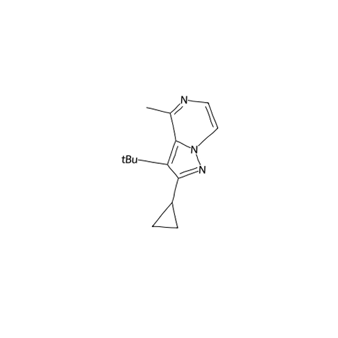 Cc1nccn2nc(C3CC3)c(C(C)(C)C)c12